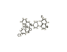 O=C(Nc1ccc(Cl)cc1F)N(Cc1ccccc1)[C@H]1CC[C@@H](c2ccnc3ccc(F)cc32)CC1